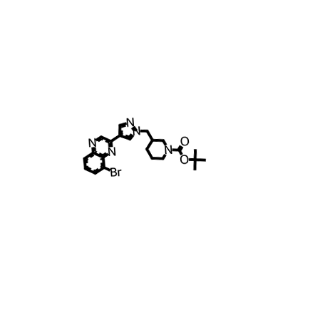 CC(C)(C)OC(=O)N1CCCC(Cn2cc(-c3cnc4cccc(Br)c4n3)cn2)C1